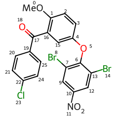 COc1ccc(Oc2c(Br)cc([N+](=O)[O-])cc2Br)cc1C(=O)c1ccc(Cl)cc1